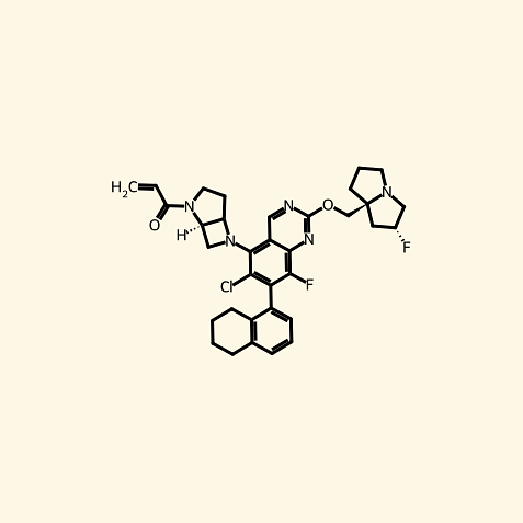 C=CC(=O)N1CCC2[C@H]1CN2c1c(Cl)c(-c2cccc3c2CCCC3)c(F)c2nc(OC[C@@]34CCCN3C[C@H](F)C4)ncc12